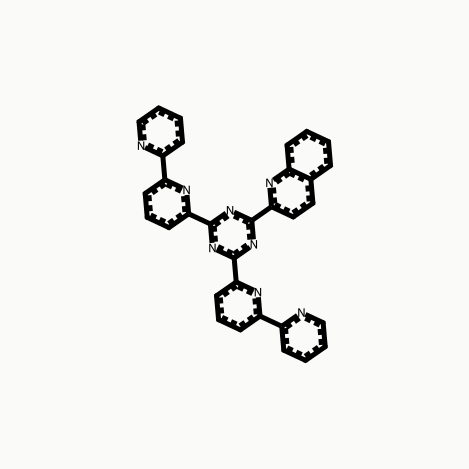 c1ccc(-c2cccc(-c3nc(-c4cccc(-c5ccccn5)n4)nc(-c4ccc5ccccc5n4)n3)n2)nc1